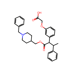 CC(c1ccccc1)C(C(=O)OCC1CCN(Cc2ccccc2)CC1)c1cccc(OCC(=O)O)c1